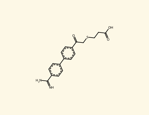 N=C(N)c1ccc(-c2ccc(C(=O)CSCCC(=O)O)cc2)cc1